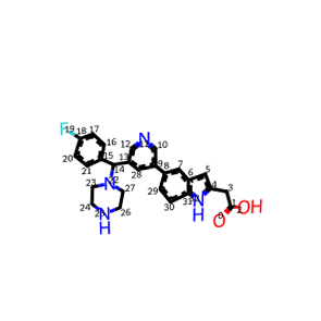 O=C(O)Cc1cc2cc(-c3cncc(C(c4ccc(F)cc4)N4CCNCC4)c3)ccc2[nH]1